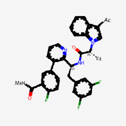 CC[C@H](C(=O)N[C@@H](Cc1cc(F)cc(F)c1)c1ncccc1-c1ccc(F)c(C(=O)NC)c1)n1cc(C(C)=O)c2ccccc21